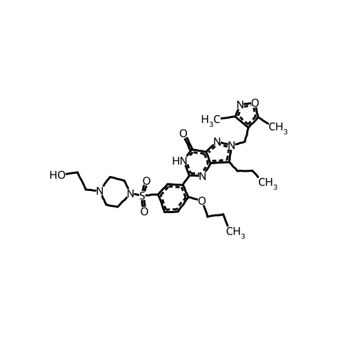 CCCOc1ccc(S(=O)(=O)N2CCN(CCO)CC2)cc1-c1nc2c(CCC)n(Cc3c(C)noc3C)nc2c(=O)[nH]1